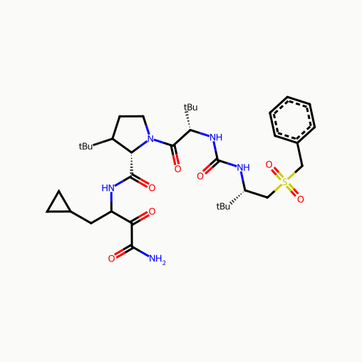 CC(C)(C)C1CCN(C(=O)[C@@H](NC(=O)N[C@H](CS(=O)(=O)Cc2ccccc2)C(C)(C)C)C(C)(C)C)[C@@H]1C(=O)NC(CC1CC1)C(=O)C(N)=O